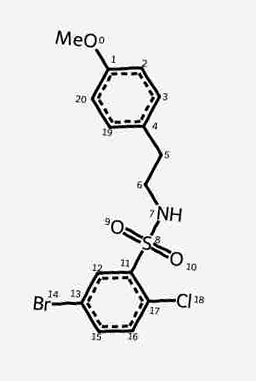 COc1ccc(CCNS(=O)(=O)c2cc(Br)ccc2Cl)cc1